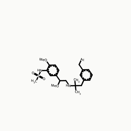 COc1ccc(C(CNC(C)(C)Cc2cccc(CC(C)=O)c2)OC)cc1NS(C)(=O)=O